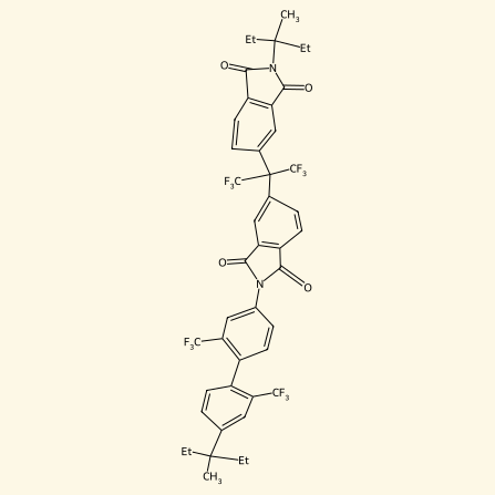 CCC(C)(CC)c1ccc(-c2ccc(N3C(=O)c4ccc(C(c5ccc6c(c5)C(=O)N(C(C)(CC)CC)C6=O)(C(F)(F)F)C(F)(F)F)cc4C3=O)cc2C(F)(F)F)c(C(F)(F)F)c1